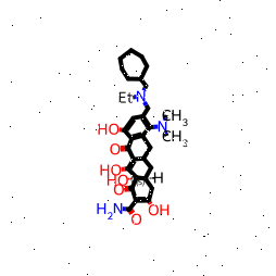 CCN(Cc1cc(O)c2c(c1N(C)C)CC1C[C@H]3CC(O)=C(C(N)=O)C(=O)[C@@]3(O)C(O)=C1C2=O)CC1CCCCCC1